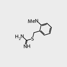 CNc1ccccc1CSC(=N)N